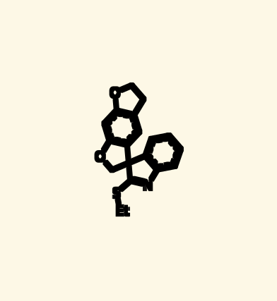 CCSC1=Nc2ccccc2C12COc1cc3c(cc12)CCO3